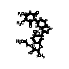 C=CCOC(=O)C(C)Oc1ccc(C)c(-c2nsc3ccc(-n4c(=O)cc(C(F)(F)F)n(C)c4=O)cc23)c1